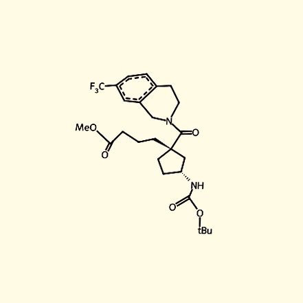 COC(=O)CCC[C@]1(C(=O)N2CCc3ccc(C(F)(F)F)cc3C2)CC[C@@H](NC(=O)OC(C)(C)C)C1